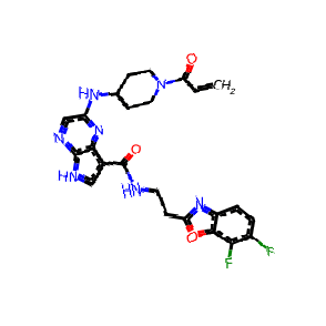 C=CC(=O)N1CCC(Nc2cnc3[nH]cc(C(=O)NCCc4nc5ccc(F)c(F)c5o4)c3n2)CC1